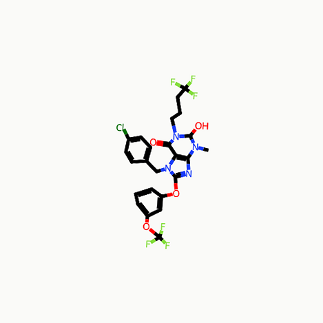 CN1c2nc(Oc3cccc(OC(F)(F)F)c3)n(Cc3ccc(Cl)cc3)c2C(=O)N(CCCC(F)(F)F)C1O